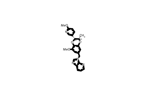 COc1ccc([C@H]2Oc3c(OC)cc(Cn4cnc5cccnc54)cc3O[C@H]2C)cn1